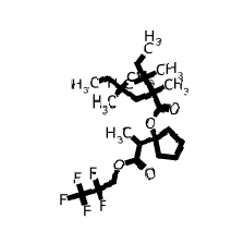 CCC(C)(C)CC(C)(C(=O)OC1(C(C)C(=O)OCC(F)(F)C(F)(F)F)CCCC1)C(C)(C)CC